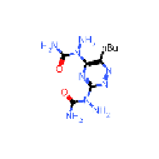 CCCCc1nnc(N(N)C(N)=O)nc1N(N)C(N)=O